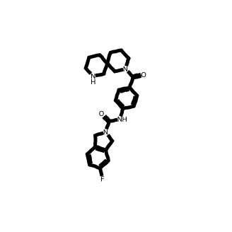 O=C(Nc1ccc(C(=O)N2CCCC3(CCCNC3)C2)cc1)N1Cc2ccc(F)cc2C1